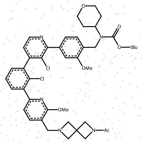 COc1cc(-c2nccc(-c3cccc(-c4ccc(CN5CC6(C5)CN(C(C)=O)C6)c(OC)n4)c3Cl)c2Cl)ccc1CN(C(=O)OC(C)(C)C)C1CCOCC1